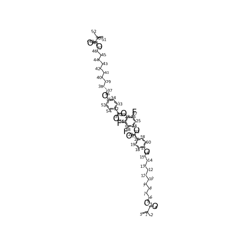 C=C(C)C(=O)OCCCCCCCCCCOc1ccc(C(=O)Oc2cc(F)c(OC(=O)c3ccc(OCCCCCCCCCCOC(=O)C(=C)C)cc3)c(F)c2F)cc1